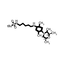 Cc1cc(N2C[C@H](C)O[C@H](C)C2C)c(C)cc1NCCCCCNS(=O)(=O)C(C)(C)C